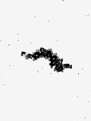 CC(C)CC(N[S+]([O-])C(C)(C)C)c1ccc2cc(-c3ccnc(NC(=O)c4ccc(C(F)(F)F)cc4)c3)ccc2n1